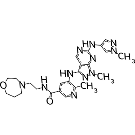 Cc1ncc(C(=O)NCCN2CCCOCC2)cc1Nc1nn(C)c2nc(Nc3cnn(C)c3)ncc12